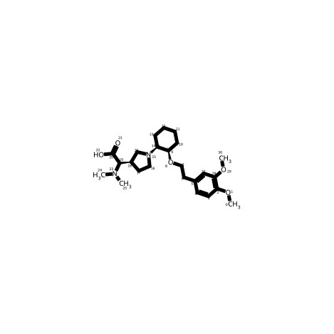 COc1ccc(CCO[C@@H]2CCCC[C@@H]2N2CC[C@@H](C(C(=O)O)N(C)C)C2)cc1OC